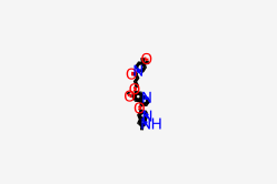 COc1cc2c(Oc3cnc4[nH]c(C)cc4c3)ccnc2cc1OCCCC(=O)N1CCC2(CC1)COC2